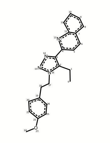 CCc1c(-c2ccc3ccccc3n2)nnn1CCc1ccc(OC)cc1